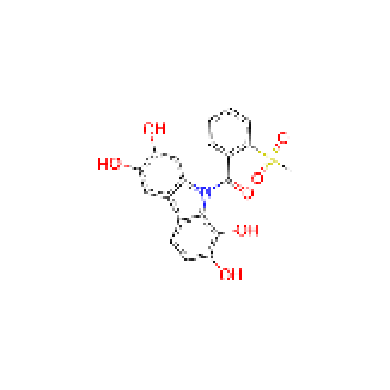 CS(=O)(=O)c1ccccc1C(=O)n1c2cc(O)c(O)cc2c2ccc(O)c(O)c21